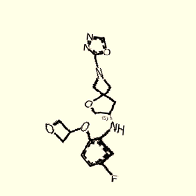 Fc1ccc(OC2COC2)c(N[C@@H]2COC3(C2)CN(c2nnco2)C3)c1